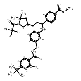 COC(=O)c1ccc(C(CCC2CN(C(=O)C(F)(F)F)C(C)(C)C2)Nc2cccc(SNC(=O)c3ccc(C(C)(C)C)nc3Cl)n2)cc1